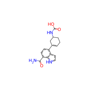 NC(=O)c1ccc(C2=CCCC(NC(=O)O)C2)c2cc[nH]c12